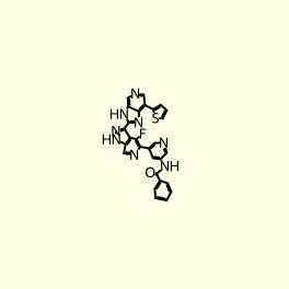 O=C(Nc1cncc(-c2ncc3[nH]nc(-c4nc5c(-c6cccs6)cncc5[nH]4)c3c2F)c1)c1ccccc1